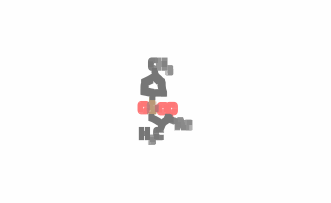 CC(=O)C(=O)C(C)CS(=O)(=O)c1ccc(C)cc1